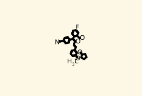 COc1cccc(C=Cc2oc(=O)c3cc(F)ccc3c2-c2ccc(C#N)cc2)c1OC1CCCC1